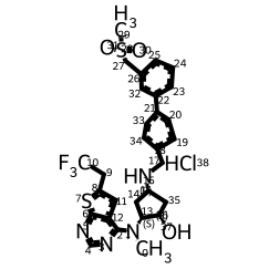 CN(c1ncnc2sc(CC(F)(F)F)cc12)[C@H]1C[C@@H](NCc2ccc(-c3cccc(CS(C)(=O)=O)c3)cc2)C[C@H]1O.Cl